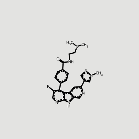 CN(C)CCNC(=O)c1ccc(-c2c(F)cnc3[nH]c4cnc(-c5cnn(C)c5)cc4c23)cc1